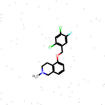 CN1CCc2c(cccc2OCc2cc(F)c(Cl)cc2Cl)C1